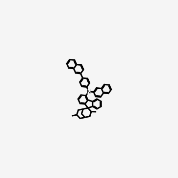 CC1CC2CC(C)C3(c4ccccc4-c4c(N(c5ccc(-c6ccc7ccccc7c6)cc5)c5ccc6ccccc6c5)cccc43)C(C1)C2